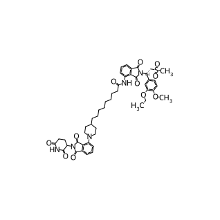 CCOc1cc([C@@H](CS(C)(=O)=O)N2C(=O)c3cccc(NC(=O)CCCCCCCCC4CCN(c5cccc6c5C(=O)N(C5CCC(=O)NC5=O)C6=O)CC4)c3C2=O)ccc1OC